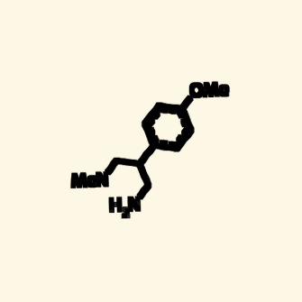 CNCC(CN)c1ccc(OC)cc1